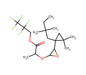 CCC(C)(C)CC1(C2OC2OC(C)C(=O)OCC(F)(F)C(F)(F)F)CC1(C)C